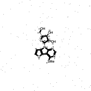 CSc1ncnc2c1c1occc1n2[C@@H]1O[C@H](CO)[C@@H](O)[C@H]1O